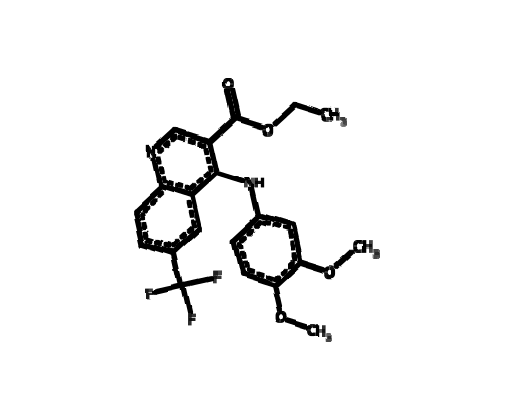 CCOC(=O)c1cnc2ccc(C(F)(F)F)cc2c1Nc1ccc(OC)c(OC)c1